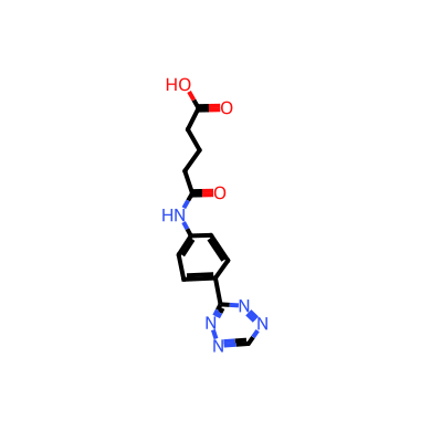 O=C(O)CCCC(=O)Nc1ccc(-c2nncnn2)cc1